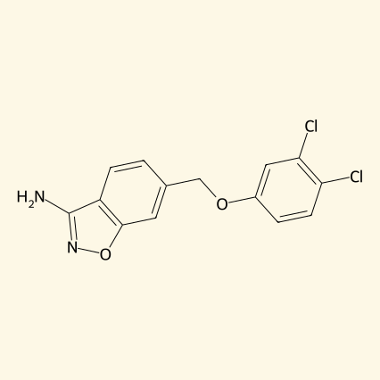 Nc1noc2cc(COc3ccc(Cl)c(Cl)c3)ccc12